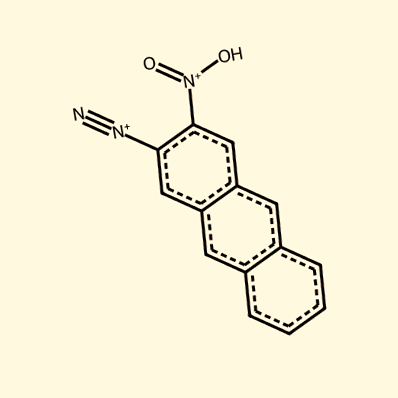 N#[N+]c1cc2cc3ccccc3cc2cc1[N+](=O)O